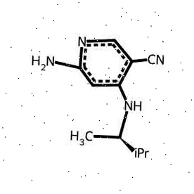 CC(C)[C@@H](C)Nc1cc(N)ncc1C#N